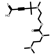 CN(C)CCN(C)C(=O)OCCN(C)C(C)(C)C#CC(O)=S